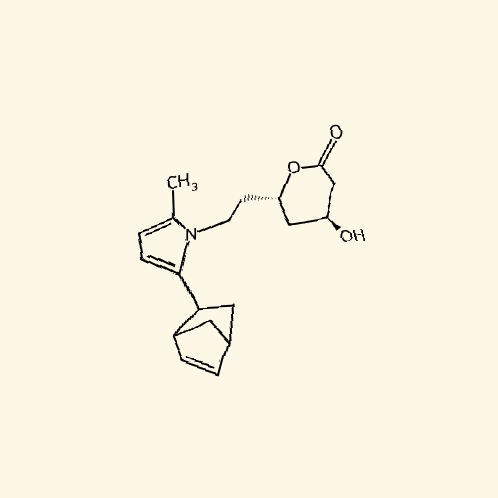 Cc1ccc(C2CC3C=CC2C3)n1CC[C@H]1C[C@H](O)CC(=O)O1